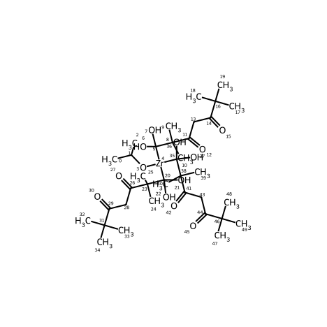 CC(C)[O][Zr]([C](O)(O)C(C)(C)C(=O)CC(=O)C(C)(C)C)([C](O)(O)C(C)(C)C(=O)CC(=O)C(C)(C)C)[C](O)(O)C(C)(C)C(=O)CC(=O)C(C)(C)C